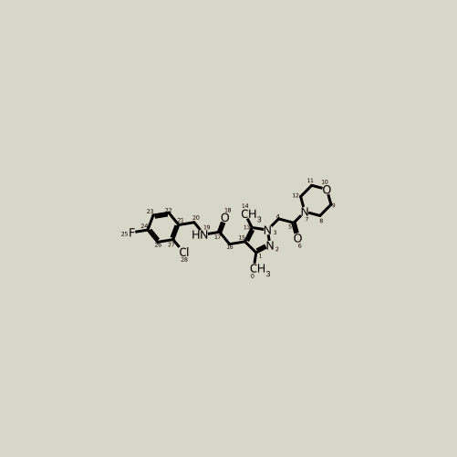 Cc1nn(CC(=O)N2CCOCC2)c(C)c1CC(=O)NCc1ccc(F)cc1Cl